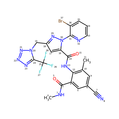 CNC(=O)c1cc(C#N)cc(C)c1NC(=O)c1cc(Cn2nnnc2C(F)(F)F)nn1-c1ncccc1Br